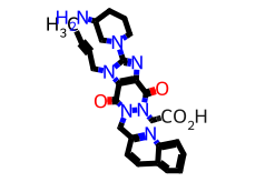 CC#CCn1c(N2CCCC(N)C2)nc2c(=O)n(CC(=O)O)n(Cc3ccc4ccccc4n3)c(=O)c21